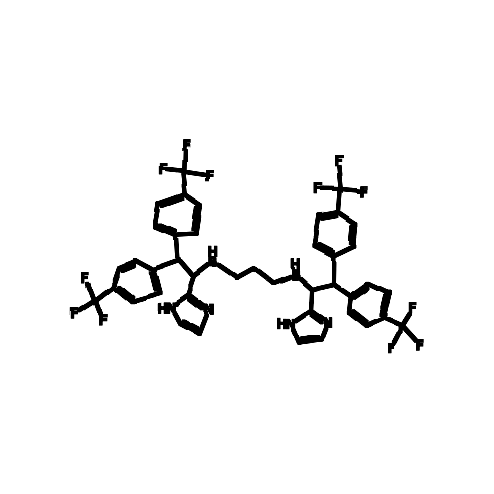 FC(F)(F)c1ccc(C(c2ccc(C(F)(F)F)cc2)C(BCCCBC(c2ncc[nH]2)C(c2ccc(C(F)(F)F)cc2)c2ccc(C(F)(F)F)cc2)c2ncc[nH]2)cc1